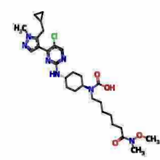 CON(C)C(=O)CCCCCCN(C(=O)O)[C@H]1CC[C@H](Nc2ncc(Cl)c(-c3cnn(C)c3CC3CC3)n2)CC1